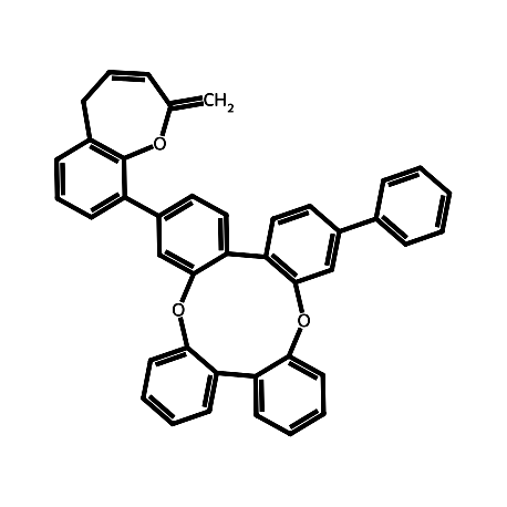 C=C1C=CCc2cccc(-c3ccc4c(c3)Oc3ccccc3-c3ccccc3Oc3cc(-c5ccccc5)ccc3-4)c2O1